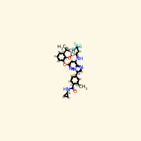 COc1c(Oc2cc(NCCC(F)(F)F)c3ncc(-c4ccc(C(=O)NC5CC5)c(C)c4)n3n2)cccc1C(C)C